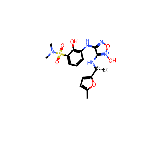 CC[C@@H](Nc1c(Nc2cccc(S(=O)(=O)N(C)C)c2O)no[n+]1O)c1ccc(C)o1